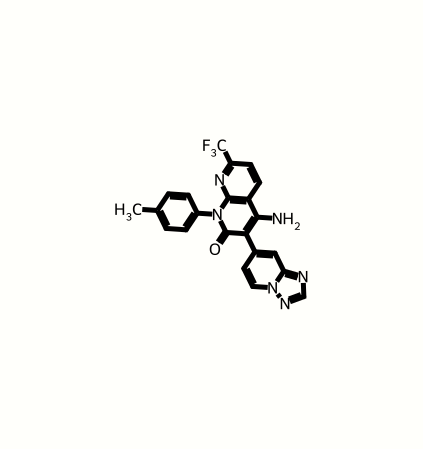 Cc1ccc(-n2c(=O)c(-c3ccn4ncnc4c3)c(N)c3ccc(C(F)(F)F)nc32)cc1